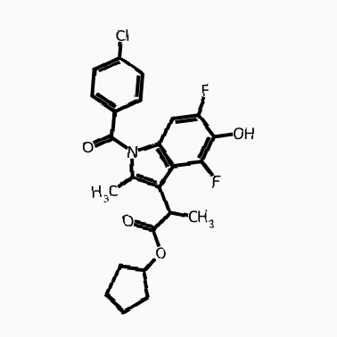 Cc1c(C(C)C(=O)OC2CCCC2)c2c(F)c(O)c(F)cc2n1C(=O)c1ccc(Cl)cc1